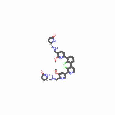 COc1cc(-c2nccc(-c3cccc(-c4ccc(CNC[C@@H]5CCC(=O)N5)c(OC)n4)c3Cl)c2Cl)cnc1CNC[C@@H]1CCC(=O)N1